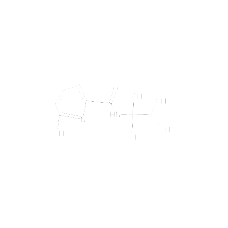 Cc1cccc(C(=O)NC(C)(C)C(C)C)n1